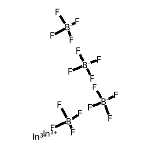 F[B-](F)(F)F.F[B-](F)(F)F.F[B-](F)(F)F.F[B-](F)(F)F.[In+3].[In+3]